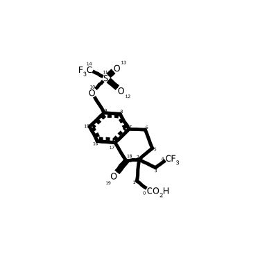 O=C(O)CC1(CC(F)(F)F)CCc2cc(OS(=O)(=O)C(F)(F)F)ccc2C1=O